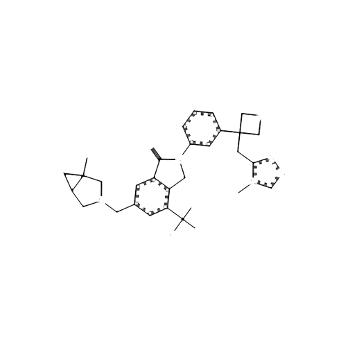 Cn1cnnc1CC1(c2cccc(N3Cc4c(cc(CN5CC6CC6(C)C5)cc4C(F)(F)F)C3=O)c2)COC1